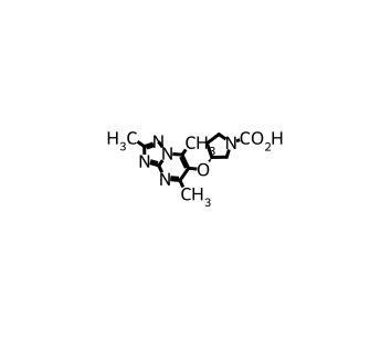 Cc1nc2nc(C)c(O[C@@H]3CCN(C(=O)O)C3)c(C)n2n1